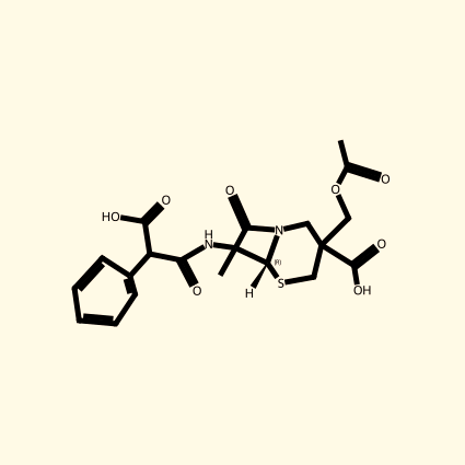 CC(=O)OCC1(C(=O)O)CS[C@H]2N(C1)C(=O)C2(C)NC(=O)C(C(=O)O)c1ccccc1